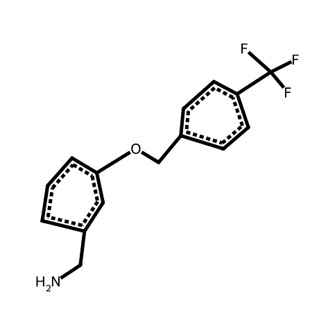 NCc1cccc(OCc2ccc(C(F)(F)F)cc2)c1